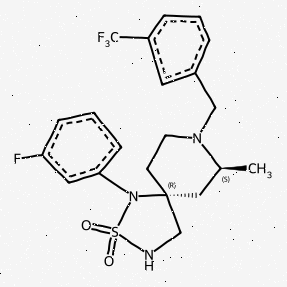 C[C@H]1C[C@]2(CCN1Cc1cccc(C(F)(F)F)c1)CNS(=O)(=O)N2c1cccc(F)c1